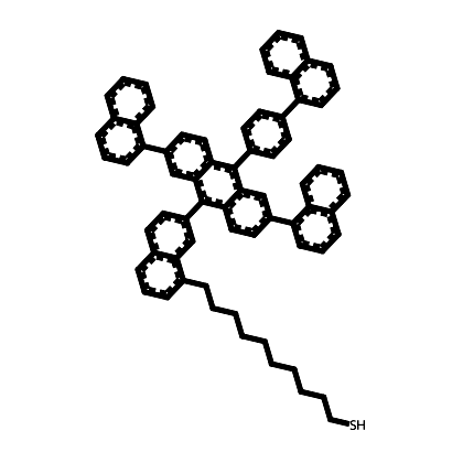 SCCCCCCCCCCc1cccc2ccc(-c3c4ccc(-c5cccc6ccccc56)cc4c(-c4ccc(-c5cccc6ccccc56)cc4)c4ccc(-c5cccc6ccccc56)cc34)cc12